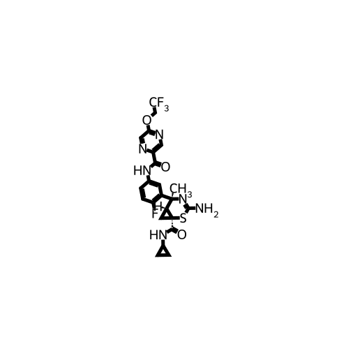 C[C@]1(c2cc(NC(=O)c3cnc(OCC(F)(F)F)cn3)ccc2F)N=C(N)S[C@@]2(C(=O)NC3CC3)C[C@H]21